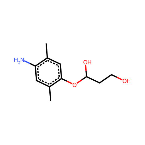 Cc1cc(OC(O)CCO)c(C)cc1N